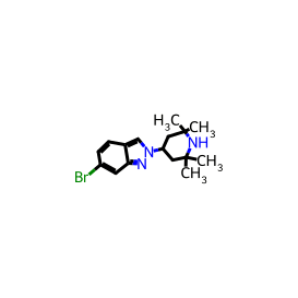 CC1(C)CC(n2cc3ccc(Br)cc3n2)CC(C)(C)N1